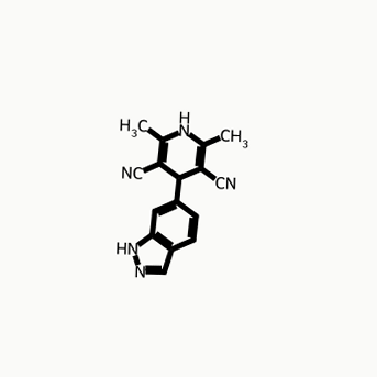 CC1=C(C#N)C(c2ccc3cn[nH]c3c2)C(C#N)=C(C)N1